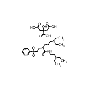 CCN(CC)CCCN(CCS(=O)(=O)c1ccccc1)C(=S)NCCN(CC)CC.O=C(O)CC(O)(CC(=O)O)C(=O)O